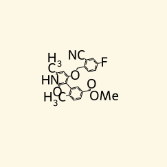 COC(=O)c1ccc(C)c(-c2c(OCc3ccc(F)cc3C#N)cc(C)[nH]c2=O)c1